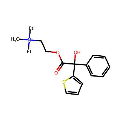 CC[N+](C)(CC)CCOC(=O)C(O)(c1ccccc1)c1cccs1